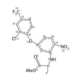 COC(=O)C(C)Nc1cc(Oc2ccc(C(F)(F)F)cc2Cl)ccc1[N+](=O)[O-]